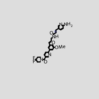 COc1cc(-c2ccc(C(=O)N3CCC(F)(F)CC3)cn2)cc2cc(CNC(=O)/C=C/c3ccc(N)nc3)oc12